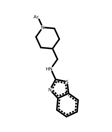 CC(=O)N1CCC(CNc2nc3ccccc3s2)CC1